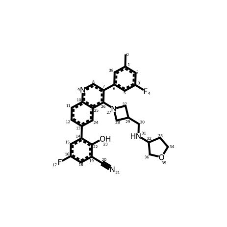 Cc1cc(F)cc(-c2cnc3ccc(-c4cc(F)cc(C#N)c4O)cc3c2N2CC(CNC3CCOC3)C2)c1